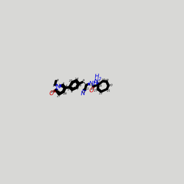 CCn1cc(-c2ccc(C[C@@H](C#N)NC(=O)C3(N)CCCCCC3)cc2)ccc1=O